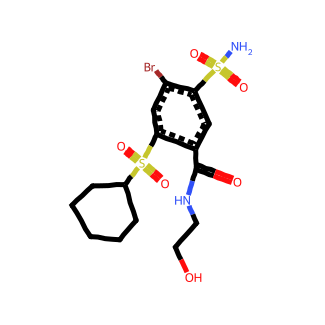 NS(=O)(=O)c1cc(C(=O)NCCO)c(S(=O)(=O)C2CCCCC2)cc1Br